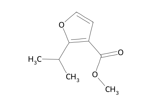 COC(=O)c1ccoc1C(C)C